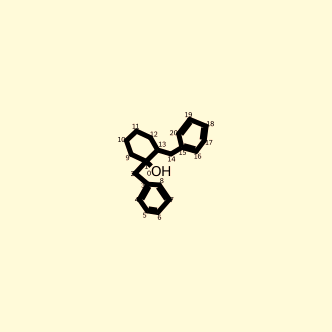 OC1(Cc2ccccc2)CCCCC1Cc1ccccc1